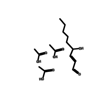 CC(=O)O.CC(=O)O.CC(=O)O.CCCCCC(O)C=CC=O